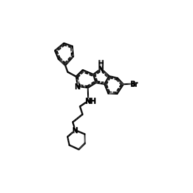 Brc1ccc2c(c1)[nH]c1cc(Cc3ccccc3)nc(NCCCN3CCCCC3)c12